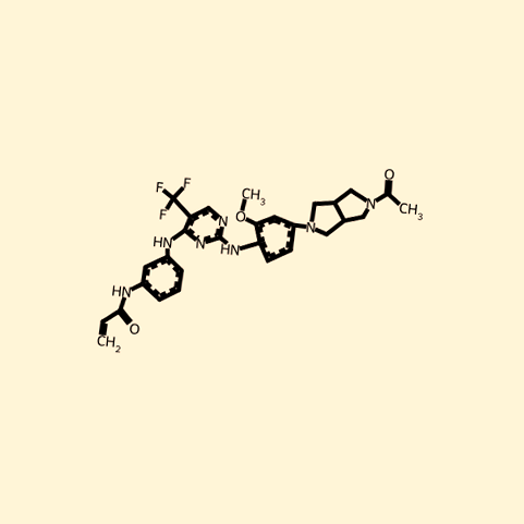 C=CC(=O)Nc1cccc(Nc2nc(Nc3ccc(N4CC5CN(C(C)=O)CC5C4)cc3OC)ncc2C(F)(F)F)c1